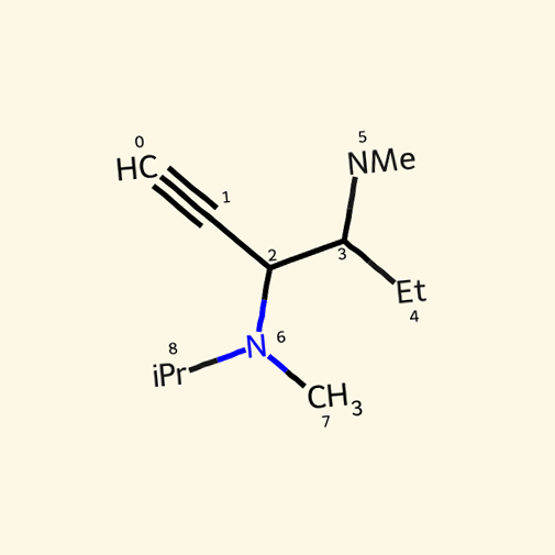 C#CC(C(CC)NC)N(C)C(C)C